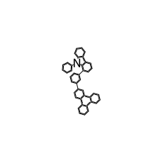 c1ccc(-n2c3ccccc3c3cccc(-c4cccc(-c5ccc6c7ccccc7c7ccccc7c6c5)c4)c32)cc1